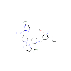 CCOc1cc(CN2CCC(C3CC(N(N)c4nccc(C(F)(F)F)n4)CCN3c3nccc(C(F)(F)F)n3)CC2)cc(OCC)c1N